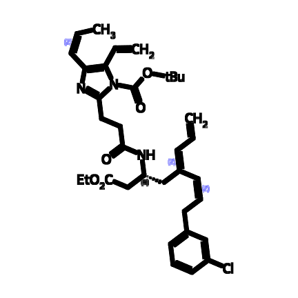 C=C/C=C(\C=C/Cc1cccc(Cl)c1)C[C@H](CC(=O)OCC)NC(=O)CCc1nc(/C=C\C)c(C=C)n1C(=O)OC(C)(C)C